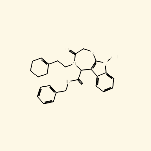 Cn1c2c(c3ccccc31)C(C(=O)NCc1ccccc1)N(CCC1=CCCCC1)C(=O)CS2